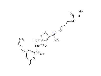 C=CCOc1cc([C@@H](CCC)NC(=O)[C@]2(C)CSC(/C(C)=N/OCCCNC(=O)OC(C)(C)C)=N2)oc(=O)c1